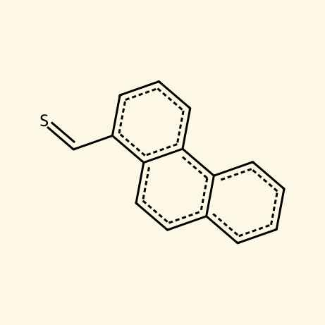 S=Cc1cccc2c1ccc1ccccc12